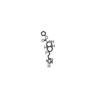 O=C(OC1CCCC1)[C@@H]1C[C@H]2C[C@@](F)(CCc3nn[nH]n3)CC[C@H]2CN1